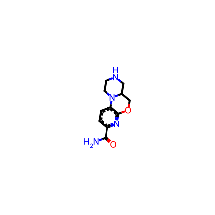 NC(=O)c1ccc2c(n1)OCC1CNCCN21